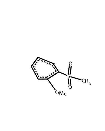 COc1ccc[c]c1S(C)(=O)=O